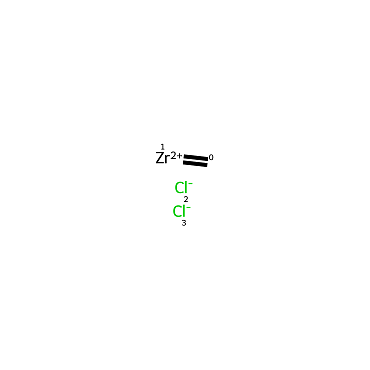 [CH2]=[Zr+2].[Cl-].[Cl-]